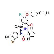 COc1cc(F)c(OC2CCC(C(=O)O)CC2)cc1C(=O)N[C@@H]1[C@H]2CC[C@H](C2)[C@@H]1C(=O)Nc1ccc(C#N)c(Br)c1